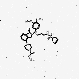 COc1ccc([C@@H](CCCNS(=O)(=O)C2CC=CS2)N2Cc3c(cccc3N3CCN(C(=O)OC(C)(C)C)CC3)C2=O)cc1OC